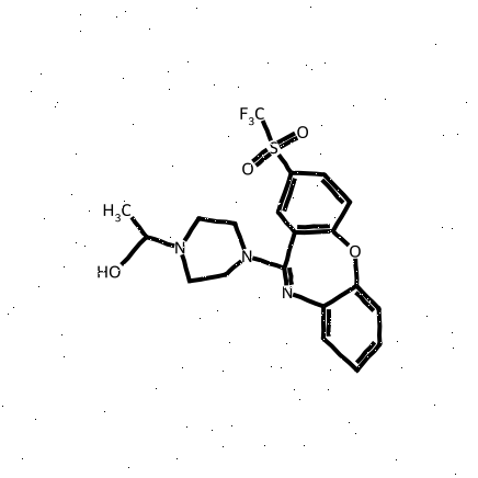 CC(O)N1CCN(C2=Nc3ccccc3Oc3ccc(S(=O)(=O)C(F)(F)F)cc32)CC1